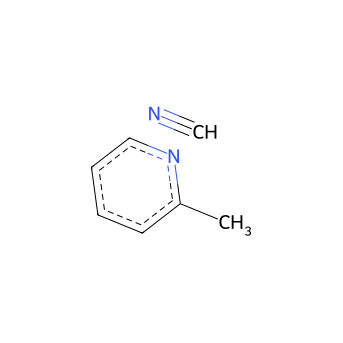 C#N.Cc1ccccn1